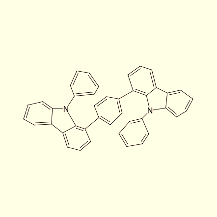 c1ccc(-n2c3ccccc3c3cccc(-c4ccc(-c5cccc6c7ccccc7n(-c7ccccc7)c56)cc4)c32)cc1